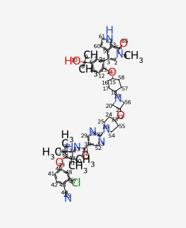 Cn1cc(-c2cc(C(C)(C)O)ccc2OC2CCC(N3CC(OC4CCN(c5ncc(C(=O)NC6C(C)(C)C(Oc7ccc(C#N)c(Cl)c7)C6(C)C)cn5)CC4)C3)CC2)c2cc[nH]c2c1=O